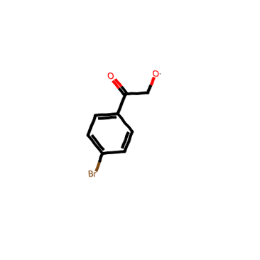 [O]CC(=O)c1ccc(Br)cc1